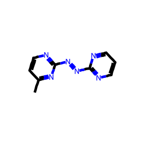 Cc1ccnc(N=Nc2ncccn2)n1